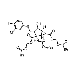 CC(C)C(=O)OCOC(=O)C1[C@@H]2[C@H](O)[C@@H](CSc3ccc(F)c(Cl)c3)[C@@](NC(=O)OC(C)(C)C)(C(=O)OCOC(=O)C(C)C)[C@H]12